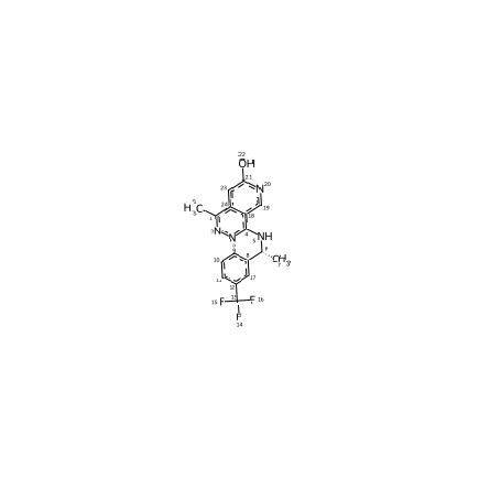 Cc1nnc(N[C@H](C)c2cccc(C(F)(F)F)c2)c2cnc(O)cc12